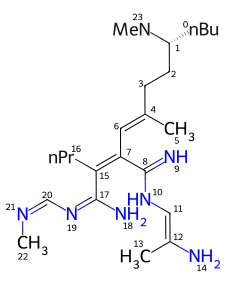 CCCC[C@H](CC/C(C)=C/C(C(=N)N/C=C(\C)N)=C(CCC)/C(N)=N\C=N/C)NC